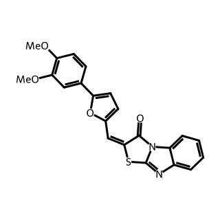 COc1ccc(-c2ccc(C=c3sc4nc5ccccc5n4c3=O)o2)cc1OC